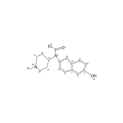 CCC(=O)N(c1ccc2cc(O)ccc2c1)C1CCN(C)CC1